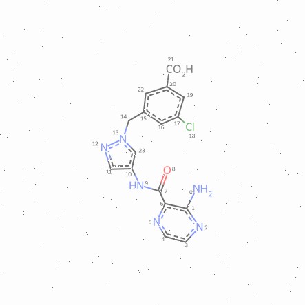 Nc1nccnc1C(=O)Nc1cnn(Cc2cc(Cl)cc(C(=O)O)c2)c1